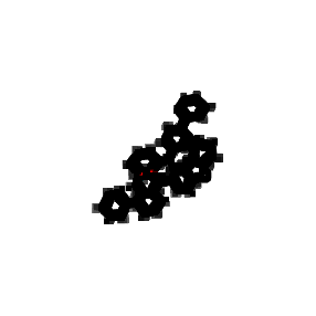 c1ccc(-c2ccc(N(c3ccccc3)c3c(-c4cccc5c(-c6ccccc6)cccc45)ccc4oc5ccccc5c34)cc2)cc1